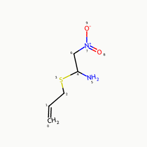 C=CCSC(N)C[N+](=O)[O-]